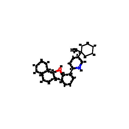 BC1(c2ccc(-c3cccc4c3oc3c5ccccc5ccc43)nc2)CCCCC1